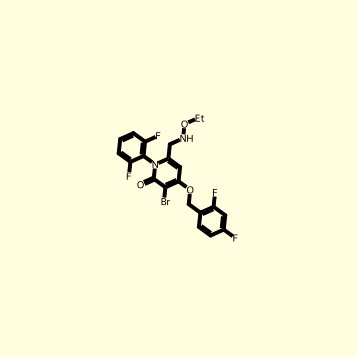 CCONCc1cc(OCc2ccc(F)cc2F)c(Br)c(=O)n1-c1c(F)cccc1F